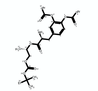 CCCC(=O)Oc1ccc(C[C@H](N)C(=O)O[C@@H](C)COC(=O)OC(C)(C)CC)cc1OC(=O)CCC